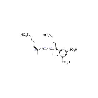 CC(/C=C/C=C(\C)N(CCCS(=O)(=O)O)c1cc(S(=O)(=O)O)cc(C(=O)O)c1C)=N/CCCS(=O)(=O)O